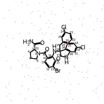 NC(=O)[C@@H]1CCCN1C(=O)c1ccc(Br)cc1NC1(Cc2cccc(Cl)c2)C(=O)Nc2cc(Cl)ccc21